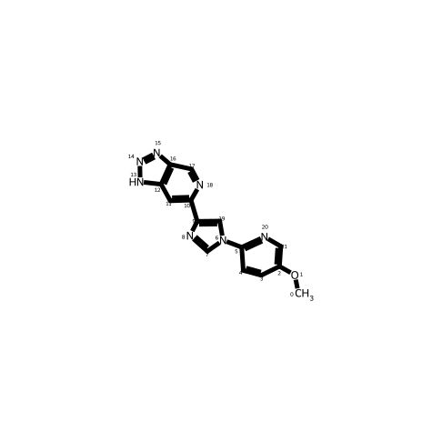 COc1ccc(-n2cnc(-c3cc4[nH]nnc4cn3)c2)nc1